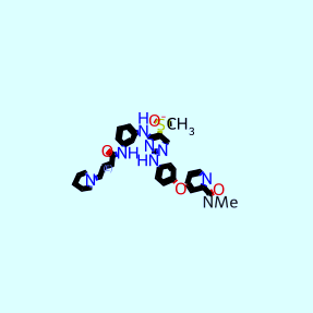 CNC(=O)c1cc(Oc2ccc(Nc3ncc([S+](C)[O-])c(Nc4cccc(NC(=O)/C=C/CN5CCCCC5)c4)n3)cc2)ccn1